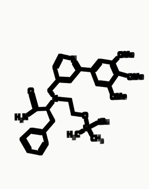 COc1cc(-c2cc(CN(CCO[Si](C)(C)C(C)(C)C)[C@@H](Cc3ccccc3)C(N)=O)ccn2)cc(OC)c1OC